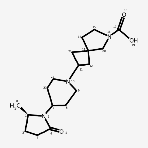 C[C@@H]1CCC(=O)N1C1CCN(C2CC3(CCN(C(=O)O)C3)C2)CC1